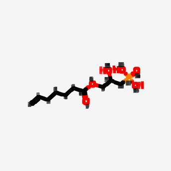 C=CCCCCC(=O)OCC(O)CP(=O)(O)O